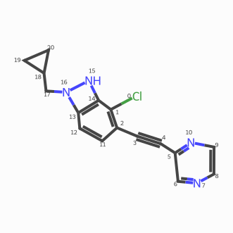 Clc1c(C#Cc2cnccn2)ccc2c1[nH]n2CC1CC1